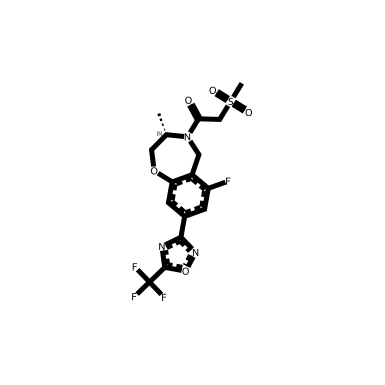 C[C@H]1COc2cc(-c3noc(C(F)(F)F)n3)cc(F)c2CN1C(=O)CS(C)(=O)=O